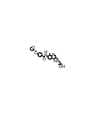 Cc1c(NC(=O)c2ccc(OC[C@@H]3CCCO3)cc2)ccc2cc(CNCC(C)(C)O)cnc12